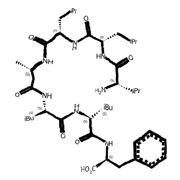 CC[C@H](C)[C@H](NC(=O)[C@H](C)NC(=O)[C@H](CC(C)C)NC(=O)[C@H](CC(C)C)NC(=O)[C@@H](N)C(C)C)C(=O)N[C@H](C(=O)N[C@@H](Cc1ccccc1)C(=O)O)[C@@H](C)CC